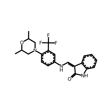 CC1CN(c2ccc(NC=C3C(=O)Nc4ccccc43)cc2C(F)(F)F)CC(C)O1